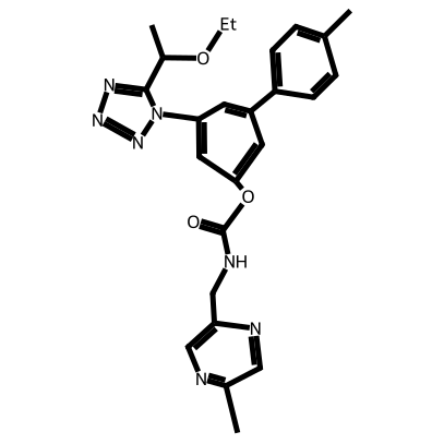 CCOC(C)c1nnnn1-c1cc(OC(=O)NCc2cnc(C)cn2)cc(-c2ccc(C)cc2)c1